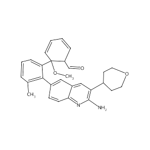 COC1(c2cccc(C)c2-c2ccc3nc(N)c(C4CCOCC4)cc3c2)C=CC=CC1C=O